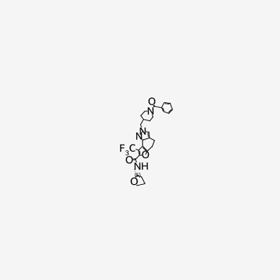 O=C(NC[C@@H]1CCCO1)c1oc2c(c1C(F)(F)F)-c1nn(CC3CCN(C(=O)c4ccccc4)CC3)cc1CC2